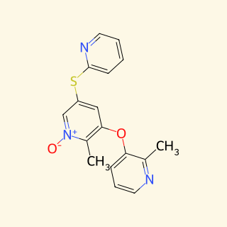 Cc1ncccc1Oc1cc(Sc2ccccn2)c[n+]([O-])c1C